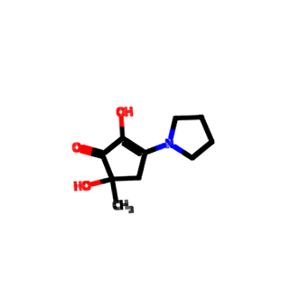 CC1(O)CC(N2CCCC2)=C(O)C1=O